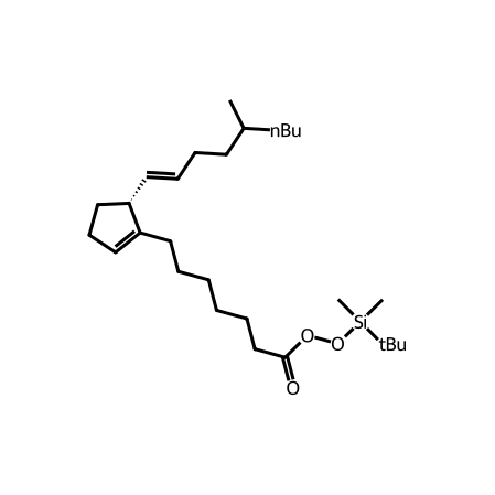 CCCCC(C)CCC=C[C@H]1CCC=C1CCCCCCC(=O)OO[Si](C)(C)C(C)(C)C